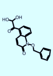 O=C(c1cccc2c1ccc(=O)n2OCc1ccccc1)C(O)O